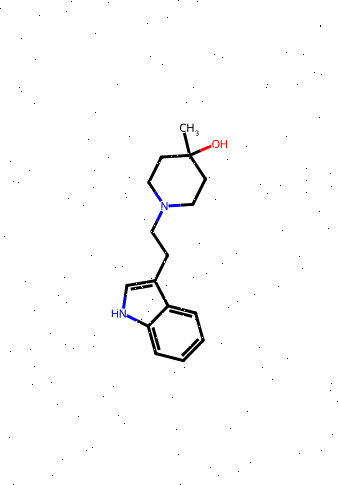 CC1(O)CCN(CCc2c[nH]c3ccccc23)CC1